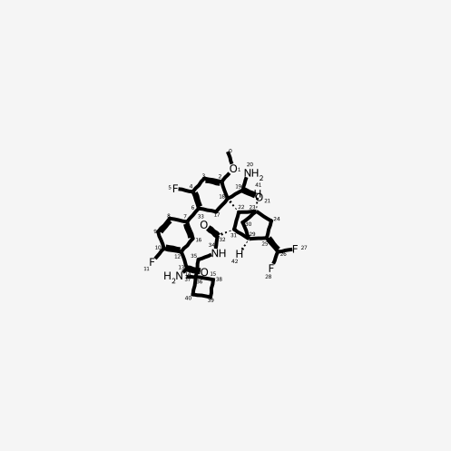 COC1=CC(F)=C(c2ccc(F)c(C(N)=O)c2)CC1(C(N)=O)[C@@H]1[C@H]2CC(=C(F)F)[C@H](C2)[C@@H]1C(=O)NCC1(C)CCC1